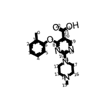 Cc1ccccc1Oc1nc(N2CCN(C)CC2)ncc1C(=O)O